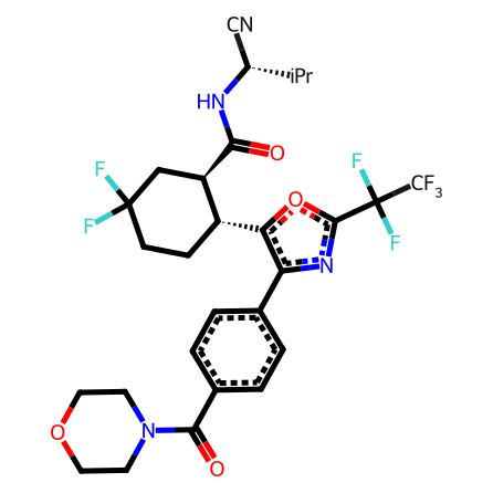 CC(C)[C@@H](C#N)NC(=O)[C@@H]1CC(F)(F)CC[C@H]1c1oc(C(F)(F)C(F)(F)F)nc1-c1ccc(C(=O)N2CCOCC2)cc1